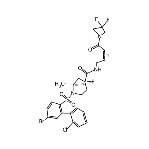 C[C@@H]1C[C@](F)(C(=O)NC/C=C\C(=O)N2CC(F)(F)C2)CCN1S(=O)(=O)c1ccc(Br)cc1-c1ccccc1Cl